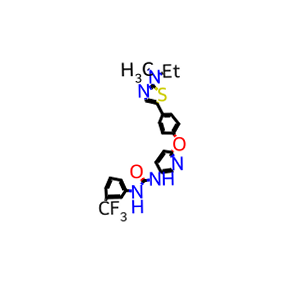 CCN(C)c1ncc(-c2ccc(Oc3ccc(NC(=O)Nc4cccc(C(F)(F)F)c4)cn3)cc2)s1